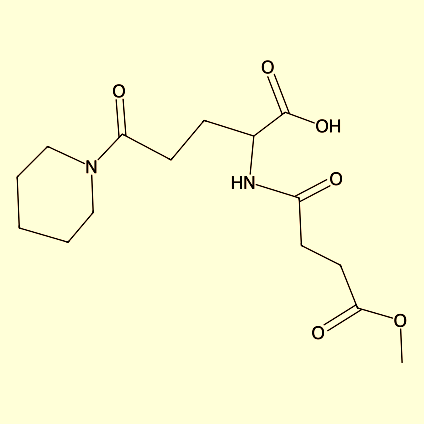 COC(=O)CCC(=O)NC(CCC(=O)N1CCCCC1)C(=O)O